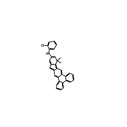 CC1(C)C=C(Nc2ccccc2Cl)C=C2C=c3cc4c5ccccc5c5ccccc5c4cc3=C21